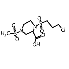 CS(=O)(=O)N1CCN(S(=O)(=O)CCCCl)C(C(=O)O)C1